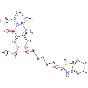 COc1cc(C(=O)N(C(C)C)C(C)C)ccc1OCCCCCOc1nc2ccccc2s1